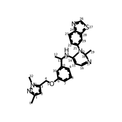 Cc1cc(COc2cccc(C(C)NC3=CC=NC(C)N3c3ccc4ncsc4c3)c2)n(C)n1